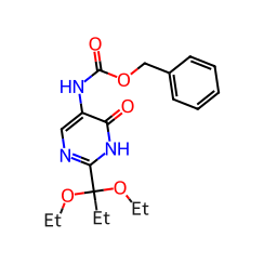 CCOC(CC)(OCC)c1ncc(NC(=O)OCc2ccccc2)c(=O)[nH]1